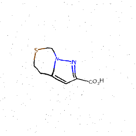 O=C(O)c1cc2n(n1)CSCC2